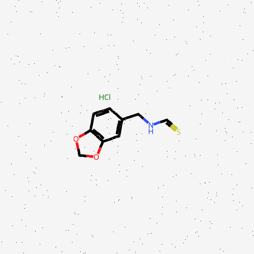 Cl.S=CNCc1ccc2c(c1)OCO2